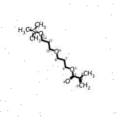 C=C(C)C(=O)OCCCOCCCO[Si](C)(C)C